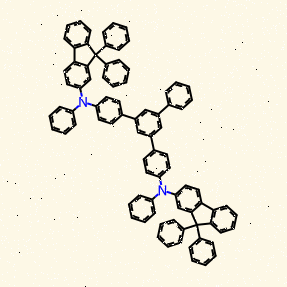 c1ccc(-c2cc(-c3ccc(N(c4ccccc4)c4ccc5c(c4)C(c4ccccc4)(c4ccccc4)c4ccccc4-5)cc3)cc(-c3ccc(N(c4ccccc4)c4ccc5c(c4)C(c4ccccc4)(c4ccccc4)c4ccccc4-5)cc3)c2)cc1